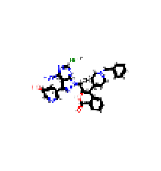 CC(c1oc(=O)c2ccccc2c1C1=CCN(Cc2ccccc2)CC1)n1nc(-c2cncc(O)c2)c2c(N)ncnc21.Cl